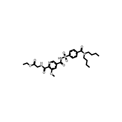 CCCCN(CCCC)C(=O)c1ccc(S(=O)(=O)NC(=O)c2cnc(C(=O)NCC(=O)OCC)c(OC)c2)cc1